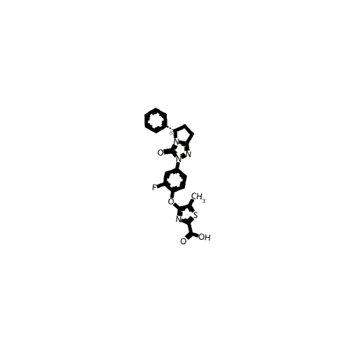 Cc1sc(C(=O)O)nc1Oc1ccc(-n2nc3n(c2=O)[C@H](c2ccccc2)CC3)cc1F